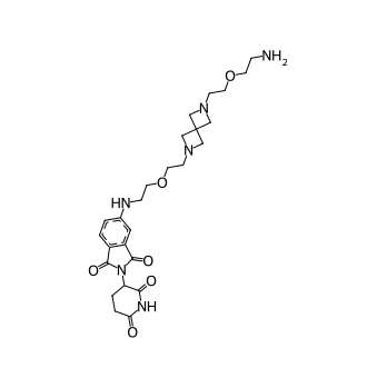 NCCOCCN1CC2(C1)CN(CCOCCNc1ccc3c(c1)C(=O)N(C1CCC(=O)NC1=O)C3=O)C2